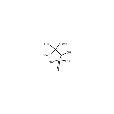 CCCCCC(N)(CCCCC)C(O)P(=O)(O)O